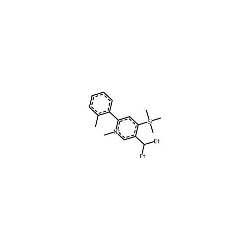 CCC(CC)c1c[n+](C)c(-c2ccccc2C)cc1[Si](C)(C)C